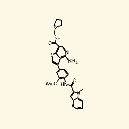 COc1cc(-c2csc3c(C(=O)NCN4CCCC4)cnc(N)c23)ccc1NC(=O)c1cc2ccccc2n1C